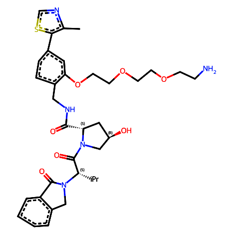 Cc1ncsc1-c1ccc(CNC(=O)[C@@H]2C[C@@H](O)CN2C(=O)[C@H](C(C)C)N2Cc3ccccc3C2=O)c(OCCOCCOCCN)c1